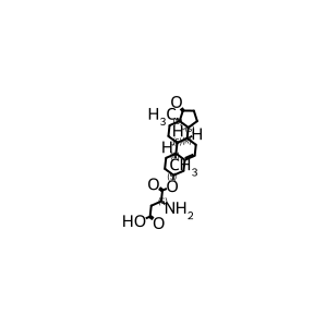 C[C@]12CC[C@H](OC(=O)[C@@H](N)CC(=O)O)CC1=CC[C@@H]1[C@@H]2CC[C@]2(C)C(=O)CC[C@@H]12